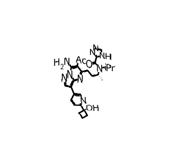 CC(=O)c1c(CC[C@@H](C)N(C(=O)c2nnc[nH]2)C(C)C)nc2c(-c3ccc(C4(O)CCC4)nc3)cnn2c1N